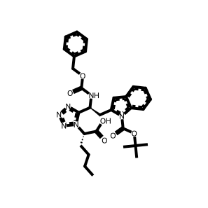 CCCC[C@@H](C(=O)O)n1nnnc1[C@H](Cc1cc2ccccc2n1C(=O)OC(C)(C)C)NC(=O)OCc1ccccc1